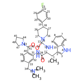 C[C@@H](c1c[nH]c2ccccc12)[C@@H](NC(=O)N1CCC(c2ccc(F)cc2)CC1)C(=O)Nc1cc(CN(C)C)ccc1C(=O)N1CCCC1